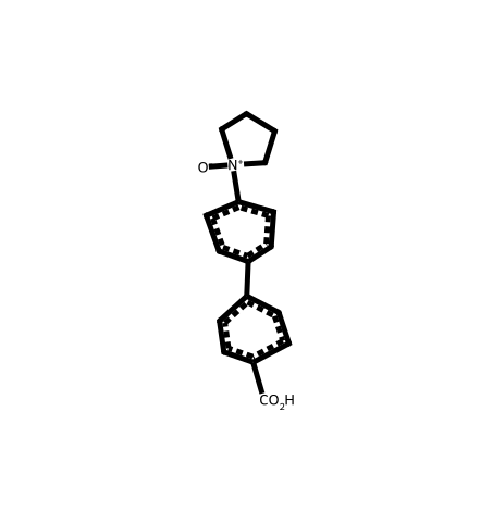 O=C(O)c1ccc(-c2ccc([N+]3([O-])CCCC3)cc2)cc1